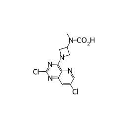 CN(C(=O)O)C1CN(c2nc(Cl)nc3cc(Cl)cnc23)C1